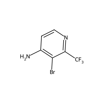 Nc1ccnc(C(F)(F)F)c1Br